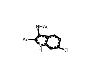 CC(=O)Nc1c(C(C)=O)[nH]c2cc(Cl)ccc12